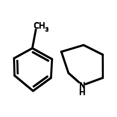 C1CCNCC1.Cc1ccccc1